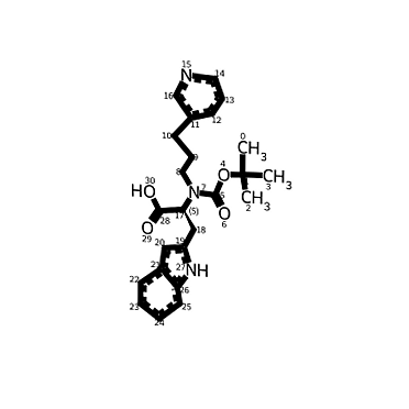 CC(C)(C)OC(=O)N(CCCc1cccnc1)[C@@H](Cc1cc2ccccc2[nH]1)C(=O)O